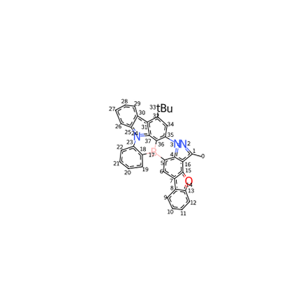 Cc1nn2c3c(cc4c5ccccc5oc4c13)B1c3ccccc3-n3c4ccccc4c4c(C(C)(C)C)cc-2c1c43